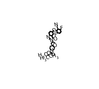 CC(C)(C)OC(=O)N1CCC2(CC1)C[C@H](n1cnc3ccc(Oc4c(F)ccc(F)c4C#N)cc3c1=O)CO2